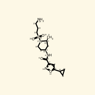 C[C@H]1C[C@@H](NC(=O)c2cc(C3CC3)on2)CCN1S(=O)(=O)CCCN